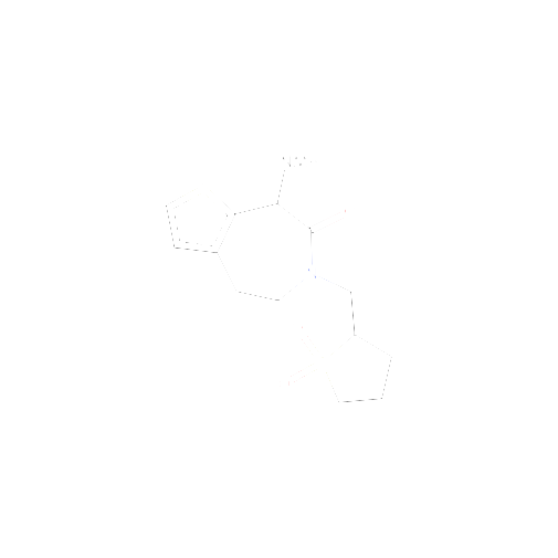 CNC1C(=O)N(CC2CCCS2(=O)=O)CCc2ccsc21